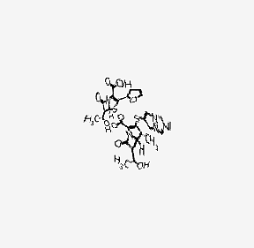 C[C@@H](O)[C@H]1C(=O)N2C(C(=O)O)=C([C@H]3CCCO3)S[C@H]12.C[C@@H](O)[C@H]1C(=O)N2C(C(=O)[O-])=C(SC3Cn4cnc[n+]4C3)[C@H](C)[C@H]12